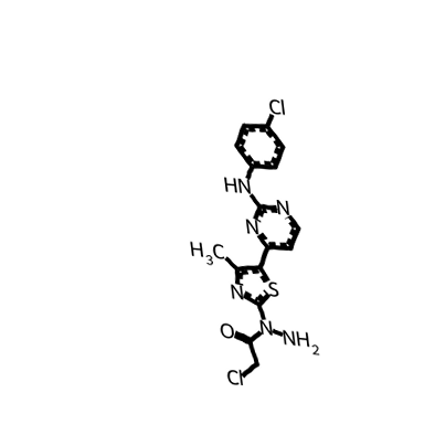 Cc1nc(N(N)C(=O)CCl)sc1-c1ccnc(Nc2ccc(Cl)cc2)n1